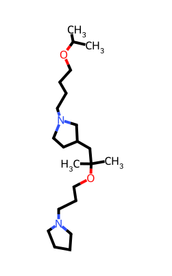 CC(C)OCCCCN1CCC(CC(C)(C)OCCCN2CCCC2)C1